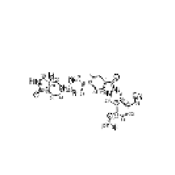 Cn1c(=O)c2ccc(-c3cnc(N4CCN5C(=O)NC[C@@H]5C4)nc3)cc2n1Cc1cc(CC#N)ccc1OC(F)F